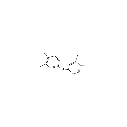 CC1=CCC(Oc2ccc(C)c(C)c2)C=C1C